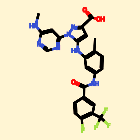 CNc1cc(-n2nc(C(=O)O)cc2Nc2cc(NC(=O)c3ccc(F)c(C(F)(F)F)c3)ccc2C)ncn1